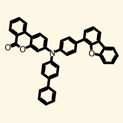 O=c1oc2cc(N(c3ccc(-c4ccccc4)cc3)c3ccc(-c4cccc5c4oc4ccccc45)cc3)ccc2c2ccccc12